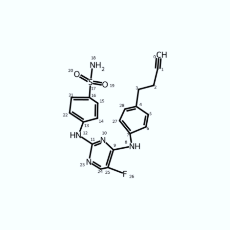 C#CCCc1ccc(Nc2nc(Nc3ccc(S(N)(=O)=O)cc3)ncc2F)cc1